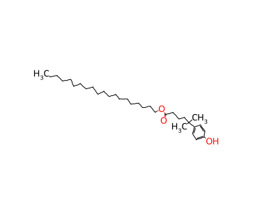 CCCCCCCCCCCCCCCCCCCCOC(=O)CCCC(C)(C)c1ccc(O)cc1